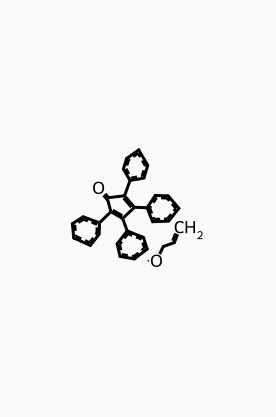 C=CC[O].O=C1C(c2ccccc2)=C(c2ccccc2)C(c2ccccc2)=C1c1ccccc1